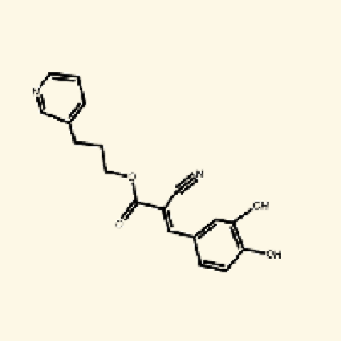 N#C/C(=C\c1ccc(O)c(O)c1)C(=O)OCCCc1cccnc1